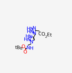 CCOC(=O)CC1=NNNN1CC1=CN(CCNC(=O)OC(C)(C)C)NN1